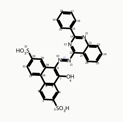 O=S(=O)(O)c1ccc2c(c1)c(O)c(/N=N/c1nc(-c3ccccc3)nc3ccccc13)c1cc(S(=O)(=O)O)ccc12